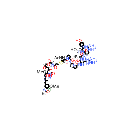 CCC(=O)N(C)c1cc(C/C(C)=C/C=C/[C@@H](OC)C2(O)C[C@@H]([C@@H](C)[C@@H]3O[C@@]3(C)[C@H](C)OC(=O)[C@H](C)N(C)C(=O)CCSSC(C)(C)[C@H](NC(C)=O)C(=O)N3CCC[C@H]3C(=O)N[C@@H](CC(C)C)C(=O)N3CCC[C@H]3C(=O)N[C@@H](CCCNC(=N)N)C(=O)N[C@H](C(=O)N[C@@H](CCCNC(=N)N)C(=O)N[C@@H](Cc3ccc(O)cc3)C(=O)O)C(C)(C)C)OC(=O)N2)cc(OC)c1Cl